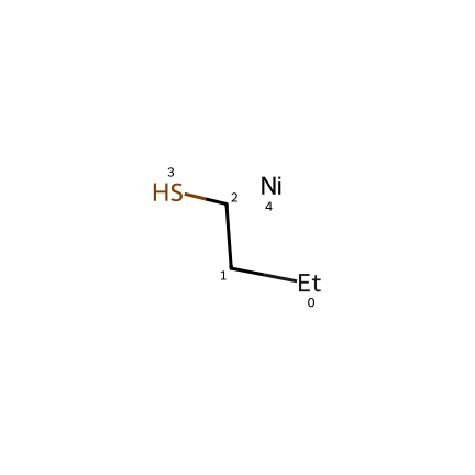 CCCCS.[Ni]